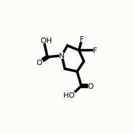 O=C(O)C1CN(C(=O)O)CC(F)(F)C1